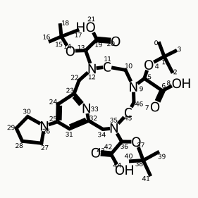 CC(C)(C)OC(C(=O)O)N1CCN(C(OC(C)(C)C)C(=O)O)Cc2cc(N3CCCC3)cc(n2)CN(C(OC(C)(C)C)C(=O)O)CC1